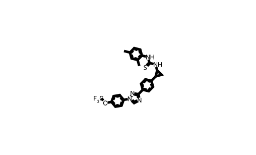 Cc1ccc(NC(=S)NC2CC2c2ccc(-c3ncn(-c4ccc(OC(F)(F)F)cc4)n3)cc2)c(C)c1